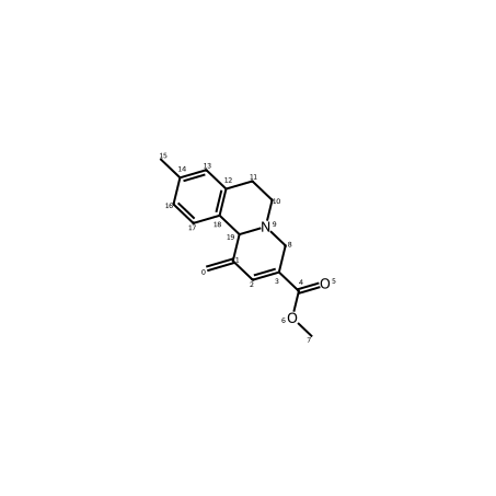 C=C1C=C(C(=O)OC)CN2CCc3cc(C)ccc3C12